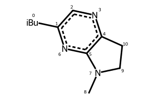 CCC(C)c1cnc2c(n1)N(C)CC2